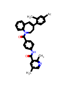 CC(=O)c1ccc(C2=Cc3ccccc3N(C(=O)c3ccc(NC(=O)c4cc(C)cnc4C)cc3)CC2)c(C)c1